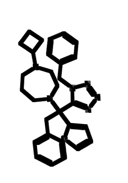 c1ccc(Cn2nnnc2C(Cc2ccccc2)(c2ccco2)N2CCCN(C3CCC3)CC2)cc1